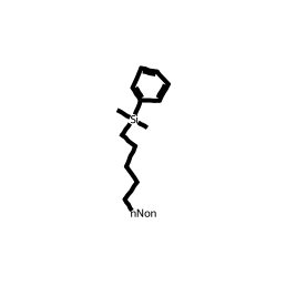 [CH2]CCCCCCCCCCCCC[Si](C)(C)c1ccccc1